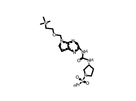 CCCS(=O)(=O)N1CC[C@@H](NC(=O)Nc2cnc3c(ccn3COCC[Si](C)(C)C)n2)C1